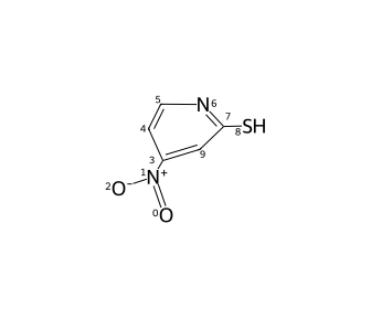 O=[N+]([O-])c1ccnc(S)c1